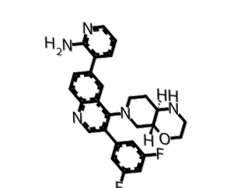 Nc1ncccc1-c1ccc2ncc(-c3cc(F)cc(F)c3)c(N3CC[C@H]4NCCO[C@@H]4C3)c2c1